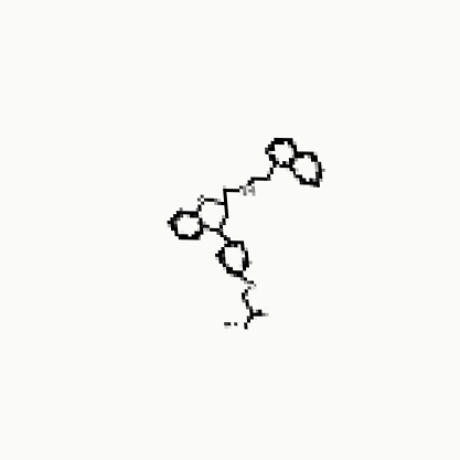 COC(=O)COc1ccc(C2CC(CNCCc3cccc4ccccc34)Oc3ccccc32)cc1